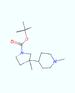 CN1CCC(C2(C)CCN(C(=O)OC(C)(C)C)C2)CC1